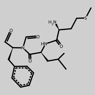 CSCC[C@H](N)C(=O)N[C@@H](CC(C)C)C(=O)N(C=O)[C@H]([C]=O)Cc1ccccc1